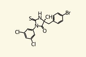 C[C@]1(Cc2ccc(Br)cc2)NC(=S)N(c2cc(Cl)cc(Cl)c2)C1=O